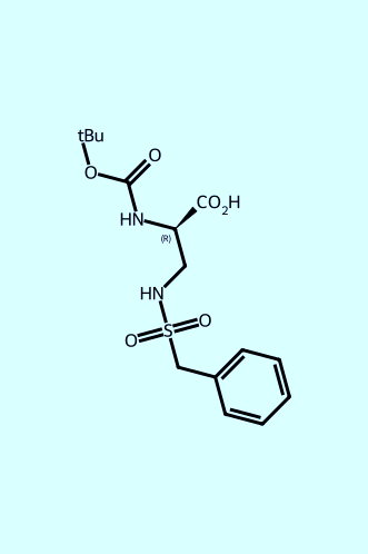 CC(C)(C)OC(=O)N[C@H](CNS(=O)(=O)Cc1ccccc1)C(=O)O